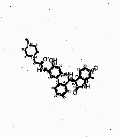 CN1CCN(CC(=O)Nc2ccc(NC(=C3C(=O)Nc4cc(Cl)ccc43)c3ccccc3)cc2O)CC1